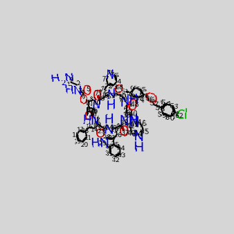 NCCNC(=O)O[C@@H]1C[C@H]2C(=O)N[C@H](CCc3ccccc3)C(=O)N[C@H](Cc3c[nH]c4ccccc34)C(=O)N[C@@H](CN3CCNCC3)C(=O)N[C@@H](Cc3ccc(OCc4ccc(Cl)cc4)cc3)C(=O)N[C@@H](Cc3cccnc3)C(=O)N2C1